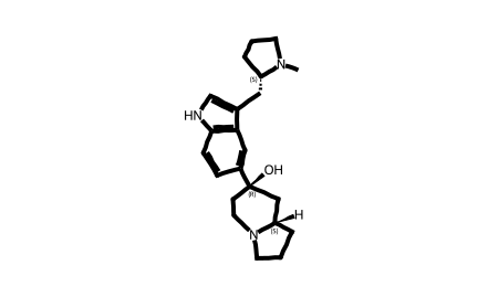 CN1CCC[C@H]1Cc1c[nH]c2ccc([C@@]3(O)CCN4CCC[C@H]4C3)cc12